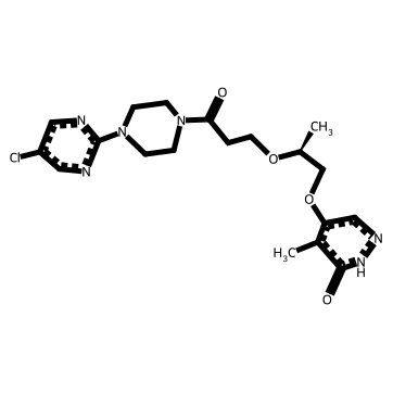 Cc1c(OC[C@H](C)OCCC(=O)N2CCN(c3ncc(Cl)cn3)CC2)cn[nH]c1=O